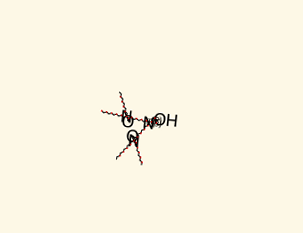 CCCCCCCCCCN(CCCCCCCCCC)C(=O)CCCCCCCN(CCCCCCCC(=O)N(CCCCCCCCCC)CCCCCCCCCC)[C@@H]1CC[C@@H](O)[C@@H](C)C1